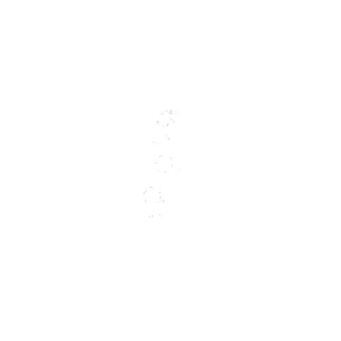 CS(=O)(=O)c1ccc(Oc2cc(OC(CF)CF)cc(C(=O)Nc3cc[nH]n3)c2)cn1